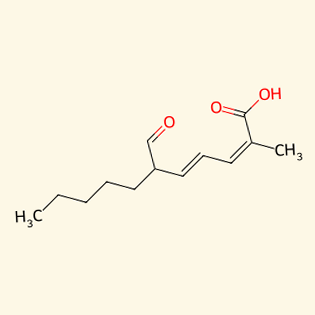 CCCCCC(C=O)C=CC=C(C)C(=O)O